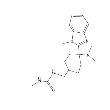 CNC(=O)NCC1CCC(c2nc3ccccc3n2C)(N(C)C)CC1